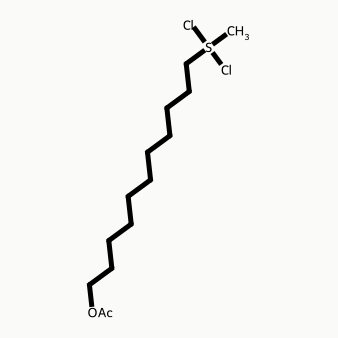 CC(=O)OCCCCCCCCCCCS(C)(Cl)Cl